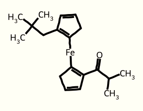 CC(C)C(=O)C1=[C]([Fe][C]2=C(CC(C)(C)C)C=CC2)CC=C1